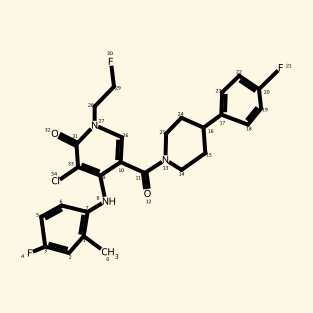 Cc1cc(F)ccc1Nc1c(C(=O)N2CCC(c3ccc(F)cc3)CC2)cn(CCF)c(=O)c1Cl